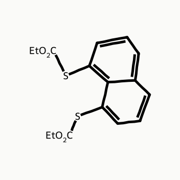 CCOC(=O)Sc1cccc2cccc(SC(=O)OCC)c12